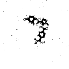 CN(C)C(=N)c1ccc(C(=O)Nc2c(C(=O)Nc3ccc(Cl)cc3F)cnn2C)cc1